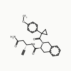 C#C[C@H](CC(N)=O)NC(=O)[C@@H]1Cc2ccccc2CN1C(=O)C1(c2ccc(OC(F)(F)F)cc2)CC1